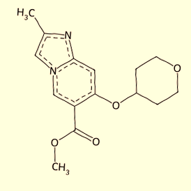 COC(=O)c1cn2cc(C)nc2cc1OC1CCOCC1